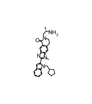 C[C@@H](N)CN1CCc2cc3c(cc2C1=O)nc(-c1cc2ccccc2n1CC1CCCC1)n3C